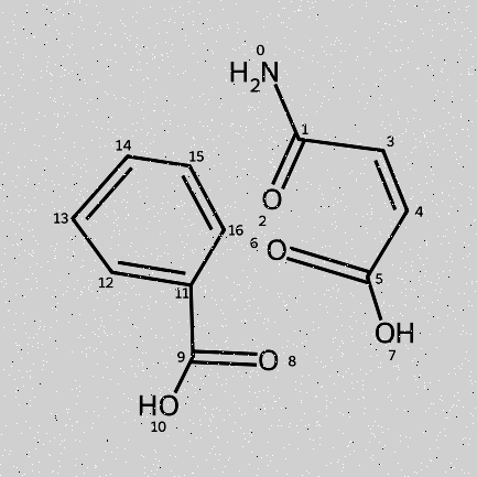 NC(=O)/C=C\C(=O)O.O=C(O)c1ccccc1